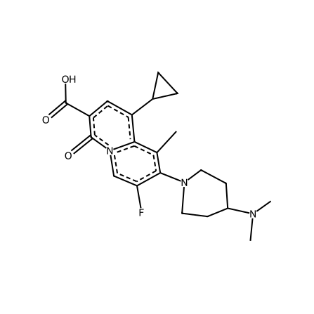 Cc1c(N2CCC(N(C)C)CC2)c(F)cn2c(=O)c(C(=O)O)cc(C3CC3)c12